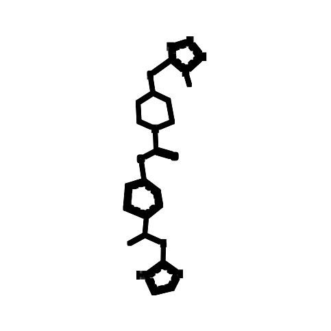 CC(Sc1ncc[nH]1)c1ccc(OC(=O)N2CCC(Sc3nnnn3C)CC2)cc1